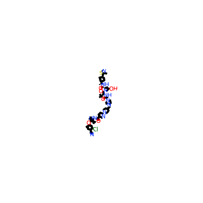 Cc1ncsc1-c1ccc([C@H](C)NC(=O)[C@@H]2C[C@@H](O)CN2C(=O)[C@@H](NC(=O)CN2CCN(CC3CCN(c4ccc(C(=O)N[C@H]5C(C)(C)[C@H](Oc6ccc(C#N)c(Cl)c6)C5(C)C)cn4)CC3)CC2)C(C)(C)C)cc1